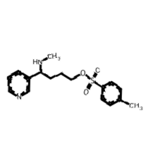 CNC(CCCOS(=O)(=O)c1ccc(C)cc1)c1cccnc1